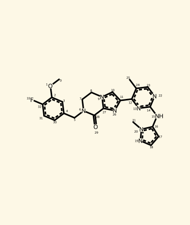 COc1cc(CN2CCn3cc(-c4nc(Nc5ccnn5C)ncc4C)nc3C2=O)ccc1F